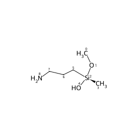 CO[Si@](C)(O)CCCN